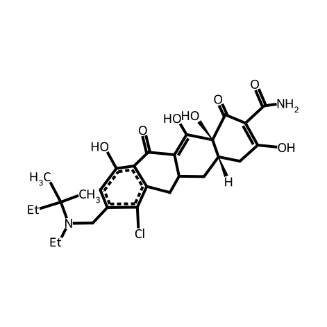 CCN(Cc1cc(O)c2c(c1Cl)CC1C[C@H]3CC(O)=C(C(N)=O)C(=O)[C@@]3(O)C(O)=C1C2=O)C(C)(C)CC